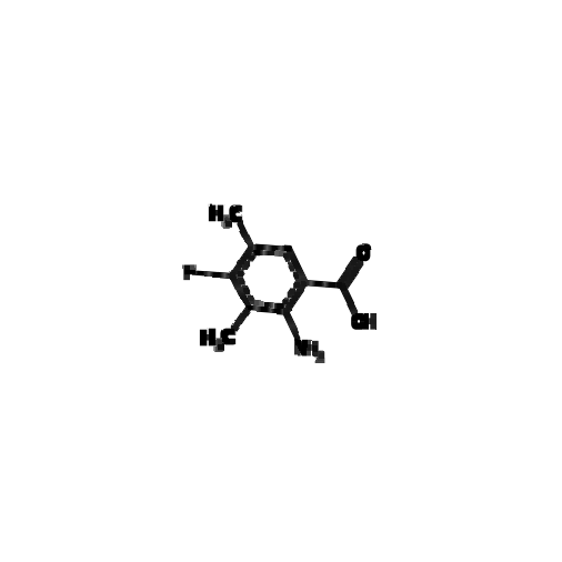 Cc1cc(C(=O)O)c(N)c(C)c1F